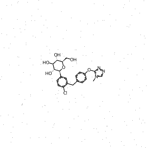 Cn1cnnc1Oc1ccc(Cc2cc([C@@H]3O[C@H](CO)[C@@H](O)C(O)[C@H]3O)ccc2Cl)cc1